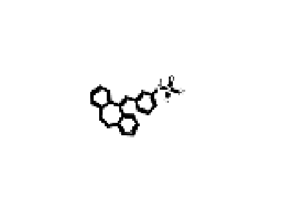 CC(C)S(=O)(=O)Nc1cccc(C=C2c3ccccc3CCc3ccccc32)c1